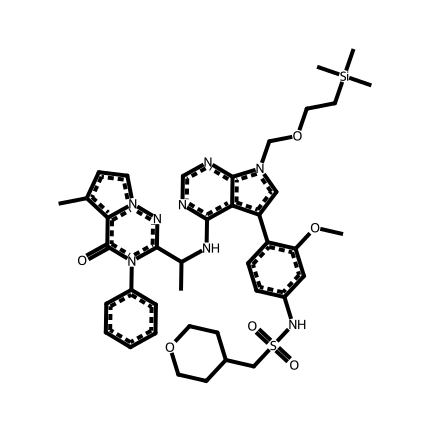 COc1cc(NS(=O)(=O)CC2CCOCC2)ccc1-c1cn(COCC[Si](C)(C)C)c2ncnc(NC(C)c3nn4ccc(C)c4c(=O)n3-c3ccccc3)c12